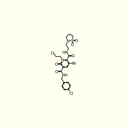 O=C(NCc1ccc(Cl)cc1)c1cc(Br)c(C(=O)NCCN2CCCS2(=O)=O)n(CCCl)c1=O